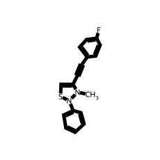 CN1C(C#Cc2ccc(F)cc2)=CSN1c1ccccc1